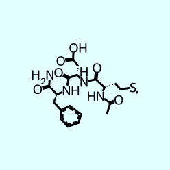 CSCC[C@H](NC(C)=O)C(=O)N[C@@H](CC(=O)O)C(=O)N[C@@H](Cc1ccccc1)C(N)=O